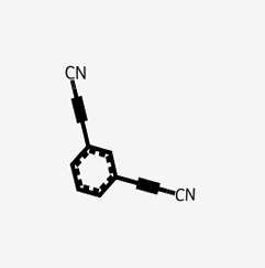 N#CC#Cc1cccc(C#CC#N)c1